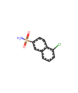 NS(=O)(=O)c1ccc2c(Cl)cccc2c1